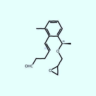 Cc1cccc([C@@H](C)OCC2CO2)c1/C=C/CCC=O